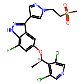 C[C@@H](Oc1cc(F)c2[nH]nc(-c3cnn(CCS(C)(=O)=O)c3)c2c1)c1c(Cl)cncc1Cl